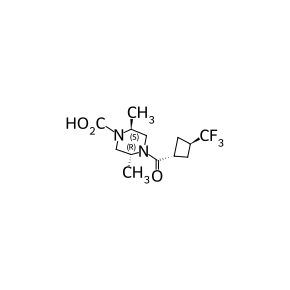 C[C@@H]1CN(C(=O)O)[C@@H](C)CN1C(=O)[C@H]1C[C@H](C(F)(F)F)C1